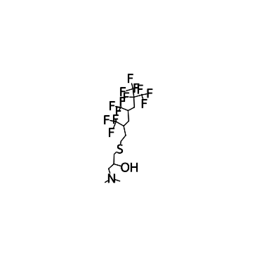 CN(C)CC(O)CSCCC(CC(CC(F)(C(F)(F)F)C(F)(F)F)C(F)(F)F)C(F)(F)F